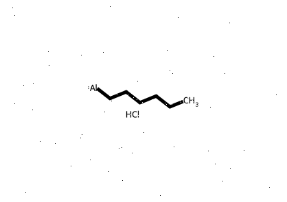 CCCCC[CH2][Al].Cl